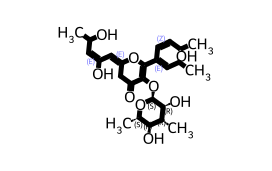 CC/C=C(\C=C/C(C)O)C1=C(O[C@@H]2O[C@@H](C)[C@H](O)[C@@H](C)[C@H]2O)C(=O)C/C(=C\C(O)=C/C(C)O)O1